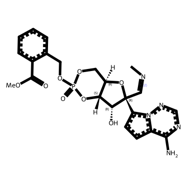 C/N=C\[C@@]1(c2ccc3c(N)ncnn23)O[C@@H]2COP(=O)(OCc3ccccc3C(=O)OC)O[C@H]2[C@H]1O